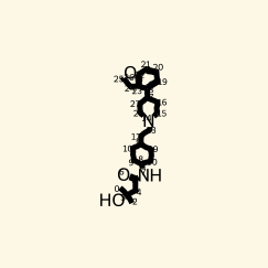 CC(C)(O)CC(=O)NC1CCC(CCN2CCC(c3cccc4c3CCO4)CC2)CC1